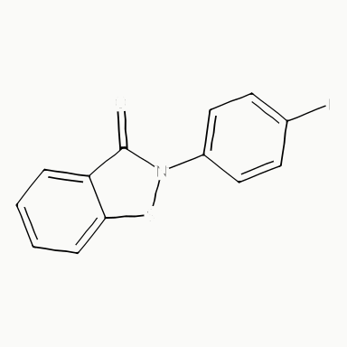 O=c1c2ccccc2sn1-c1ccc(I)cc1